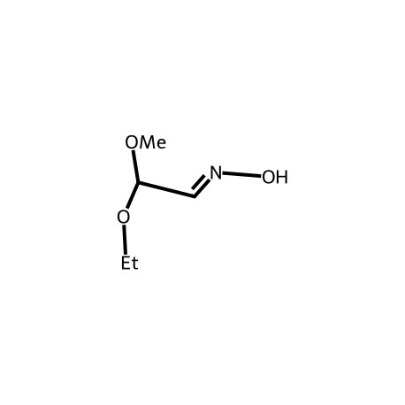 CCOC(C=NO)OC